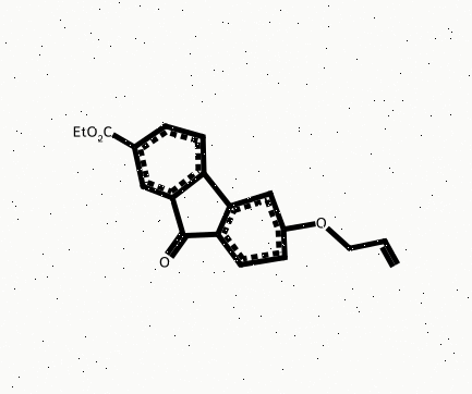 C=CCOc1ccc2c(c1)-c1ccc(C(=O)OCC)cc1C2=O